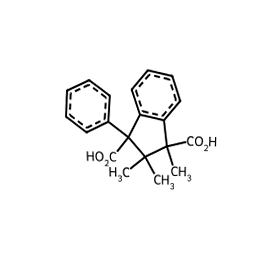 CC1(C(=O)O)c2ccccc2C(C(=O)O)(c2ccccc2)C1(C)C